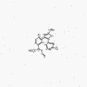 C=CCN(C(=O)O)c1ccc(F)c(-c2nc(C(C)(C)C)sc2-c2ccnc(Cl)n2)c1